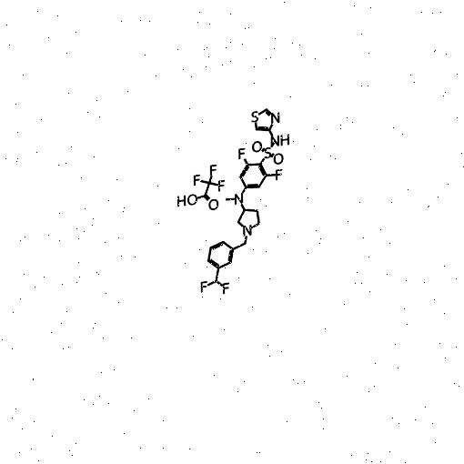 CN(c1cc(F)c(S(=O)(=O)Nc2cscn2)c(F)c1)C1CCN(Cc2cccc(C(F)F)c2)C1.O=C(O)C(F)(F)F